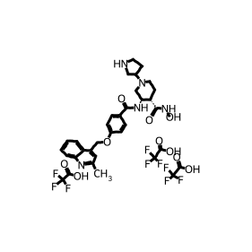 Cc1cc(COc2ccc(C(=O)N[C@@H]3CN(C4CCNC4)CC[C@@H]3C(=O)NO)cc2)c2ccccc2n1.O=C(O)C(F)(F)F.O=C(O)C(F)(F)F.O=C(O)C(F)(F)F